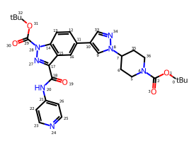 CC(C)(C)OC(=O)N1CCC(n2cc(-c3ccc4c(c3)c(C(=O)Nc3ccncc3)nn4C(=O)OC(C)(C)C)cn2)CC1